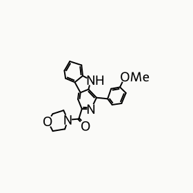 COc1cccc(-c2nc(C(=O)N3CCOCC3)cc3c2[nH]c2ccccc23)c1